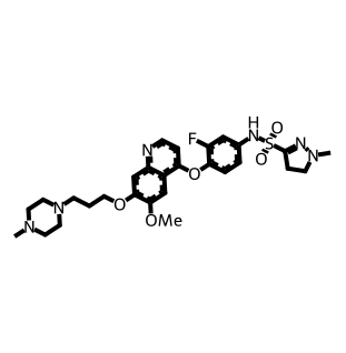 COc1cc2c(Oc3ccc(NS(=O)(=O)C4=NN(C)CC4)cc3F)ccnc2cc1OCCCN1CCN(C)CC1